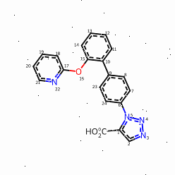 O=C(O)c1cnnn1-c1ccc(-c2ccccc2Oc2ccccn2)cc1